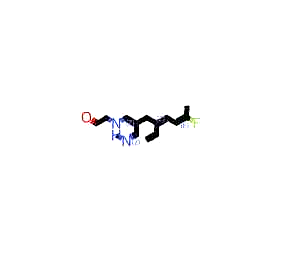 C=C/C(=C\C=C(/C)F)CC(/C=N\C)=C/NCC=O